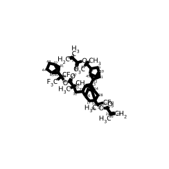 C=C(C)C(=O)OC(C)(C1CC2CC(C3C4CC5CC(C(C)(OC(=O)C(=C)C)C(F)(F)F)(C4)CC3C5CC(C)(C)C(=O)OC(C3CC4CCC3C4)(C(F)(F)F)C(F)(F)F)C1C2)C(F)(F)F